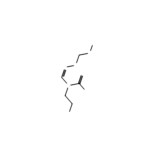 C=C(C)N(/C=N\NCNO)CCO